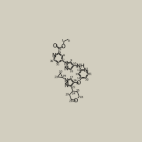 CCOC(=O)c1cc(-n2cc(Nc3cc(Oc4cn(C5CC5)nc4C4CCOCC4)ccn3)cn2)ccn1